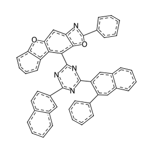 c1ccc(-c2nc3cc4oc5ccccc5c4c(-c4nc(-c5ccc6ccccc6c5)nc(-c5cc6ccccc6cc5-c5ccccc5)n4)c3o2)cc1